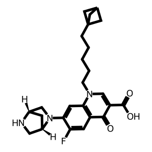 O=C(O)c1cn(CCCCCC23CC(C2)C3)c2cc(N3C[C@@H]4C[C@H]3CN4)c(F)cc2c1=O